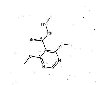 CNN[C@H](Br)c1c(OC)ncnc1OC